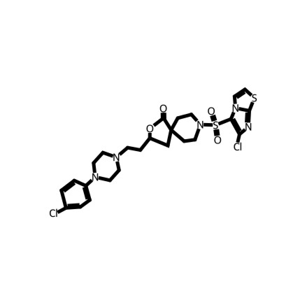 O=C1OC(CCN2CCN(c3ccc(Cl)cc3)CC2)CC12CCN(S(=O)(=O)c1c(Cl)nc3sccn13)CC2